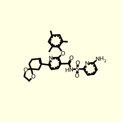 Cc1cc(C)c(Oc2nc(C3=CCCC4(C3)OCCO4)ccc2C(=O)NS(=O)(=O)c2cccc(N)n2)c(C)c1